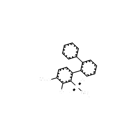 CCc1c(OC)ccc(-c2ccccc2-c2ccccc2)c1S(N)(=O)=O